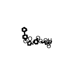 CCS(=O)(=O)CC(O)COc1ccc(N2CCC(Oc3ccc(-c4ccccc4)cc3)C2=O)cc1OC